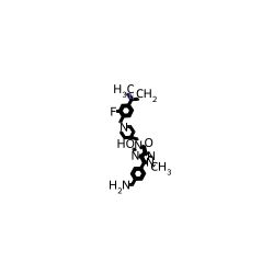 C=C/C(=C\C)c1ccc(CN2CCC(O)(Cn3cnc4c(-c5ccc(CN)cc5)n(C)nc4c3=O)CC2)c(F)c1